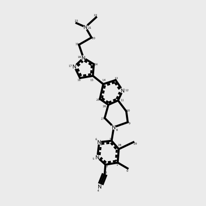 Cc1c(C#N)nnc(N2CCc3ncc(-c4cnn(CCN(C)C)c4)cc3C2)c1C